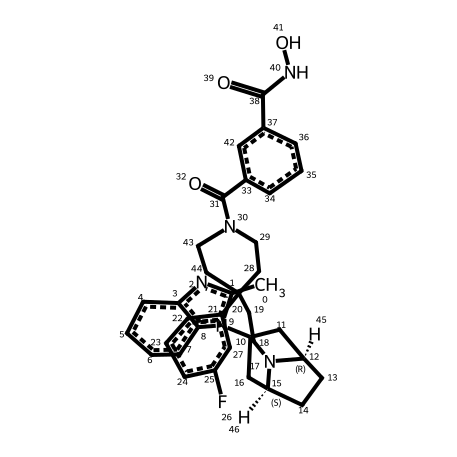 Cc1nc2ccccc2n1C1C[C@H]2CC[C@@H](C1)N2CCC1(c2cccc(F)c2)CCN(C(=O)c2cccc(C(=O)NO)c2)CC1